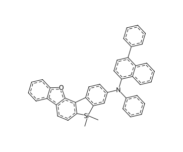 C[Si]1(C)c2cc(N(c3ccccc3)c3ccc(-c4ccccc4)c4ccccc34)ccc2-c2c1ccc1c2oc2ccccc21